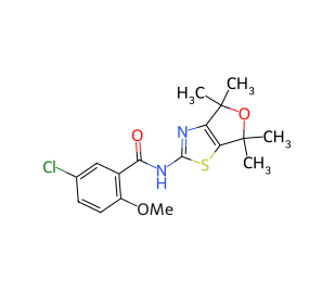 COc1ccc(Cl)cc1C(=O)Nc1nc2c(s1)C(C)(C)OC2(C)C